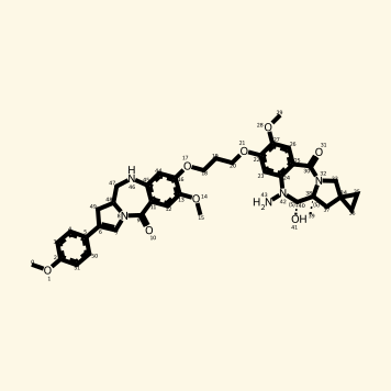 COc1ccc(C2=CN3C(=O)c4cc(OC)c(OCCCOc5cc6c(cc5OC)C(=O)N5CC7(CC7)C[C@@]5(C)[C@H](O)N6N)cc4NCC3C2)cc1